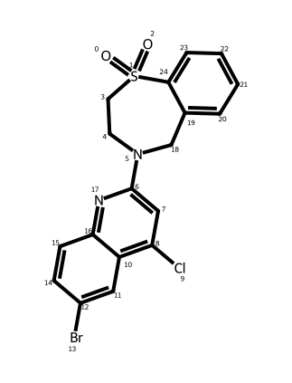 O=S1(=O)CCN(c2cc(Cl)c3cc(Br)ccc3n2)Cc2ccccc21